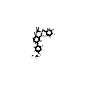 O=C1Oc2ccc(-c3ccc(OC(F)(F)F)cc3)cc2CN1Cc1ccccn1